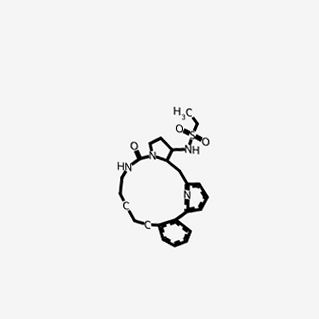 CCS(=O)(=O)NC1CCN2C(=O)NCCCCCc3ccccc3-c3cccc(n3)CC12